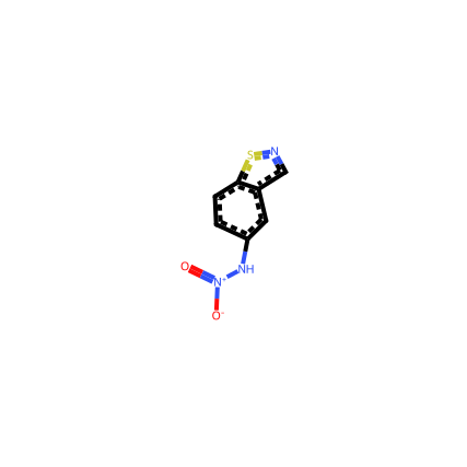 O=[N+]([O-])Nc1ccc2sncc2c1